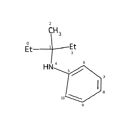 CCC(C)(CC)Nc1ccccc1